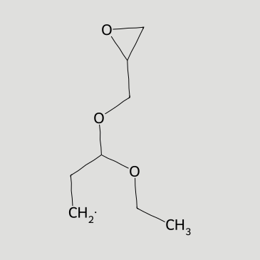 [CH2]CC(OCC)OCC1CO1